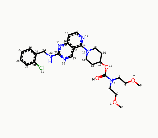 COCCN(CCOC)C(=O)OC1CCN(c2nccc3nc(NCc4ccccc4Cl)ncc23)CC1